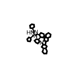 c1ccc(C2=NC(c3ccccc3-c3ccccc3-n3c4cc5ccccc5cc4c4cc5ccccc5cc43)=NC(c3ccccc3)N2)cc1